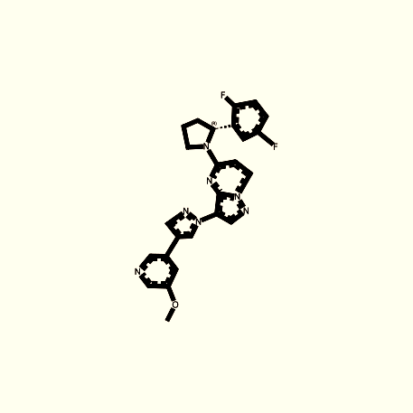 COc1cncc(-c2cnn(-c3cnn4ccc(N5CCC[C@@H]5c5cc(F)ccc5F)nc34)c2)c1